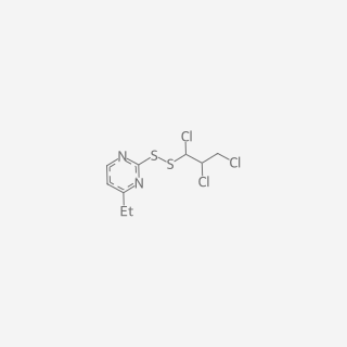 CCc1ccnc(SSC(Cl)C(Cl)CCl)n1